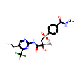 CCc1cnc(NC(=O)[C@@](C)(O)CS(=O)(=O)c2ccc(C(=O)NC)cc2)nc1C(F)(F)F